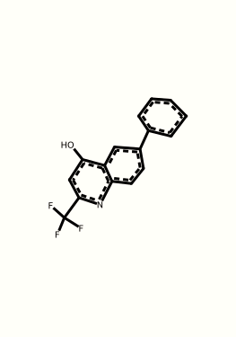 Oc1cc(C(F)(F)F)nc2ccc(-c3ccccc3)cc12